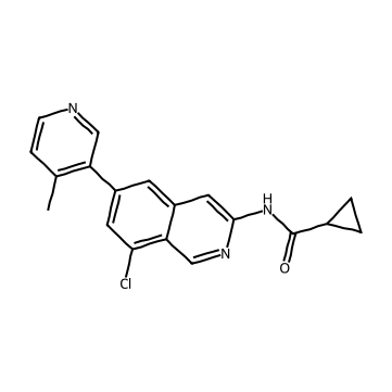 Cc1ccncc1-c1cc(Cl)c2cnc(NC(=O)C3CC3)cc2c1